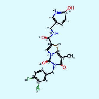 Cc1c(=O)n(Cc2ccc(F)c(Br)c2)c(=O)n2cc(C(=O)NCc3ccc(O)nc3)sc12